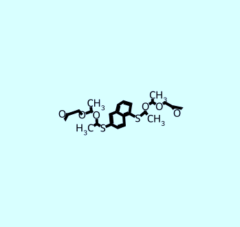 CC(OCC1CO1)OC(C)Sc1ccc2c(SC(C)OC(C)OCC3CO3)cccc2c1